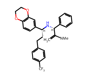 C=C(NC)[C@H](N[C@H](CCc1ccc(C(F)(F)F)cc1)c1ccc2c(c1)OCCO2)c1ccccc1